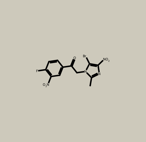 Cc1nc([N+](=O)[O-])c(Br)n1CC(=O)c1ccc(F)c([N+](=O)[O-])c1